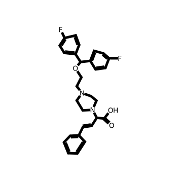 O=C(O)C(/C=C/c1ccccc1)N1CCN(CCOC(c2ccc(F)cc2)c2ccc(F)cc2)CC1